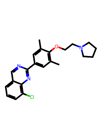 Cc1cc(-c2ncc3cccc(Cl)c3n2)cc(C)c1OCCN1CCCC1